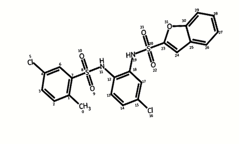 Cc1ccc(Cl)cc1S(=O)(=O)Nc1ccc(Cl)cc1NS(=O)(=O)c1cc2ccccc2o1